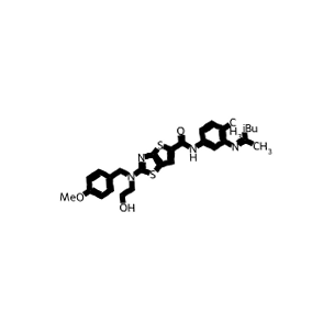 CCC(C)/C(C)=N\c1cc(NC(=O)c2cc3sc(N(CCO)Cc4ccc(OC)cc4)nc3s2)ccc1C